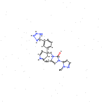 CCCCc1cn(-c2ccnn2C(C)C)c(=O)n1CC1(c2cccc(-c3nnn[nH]3)c2)C=CN=CC1